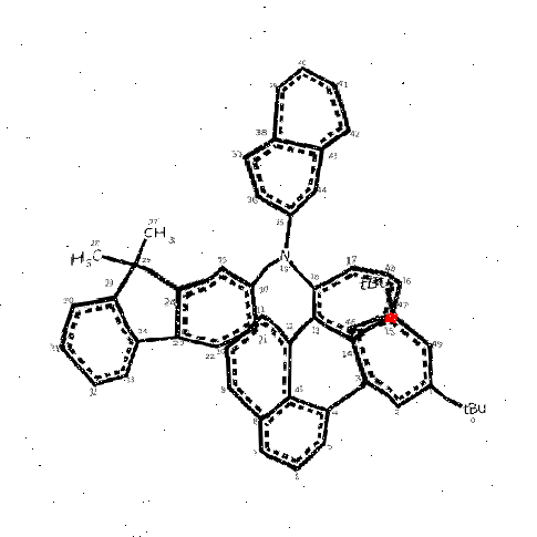 CC(C)(C)c1cc(-c2cccc3cccc(-c4ccccc4N(c4ccc5c(c4)C(C)(C)c4ccccc4-5)c4ccc5ccccc5c4)c23)cc(C(C)(C)C)c1